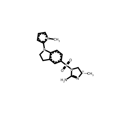 C[C@H]1CN(S(=O)(=O)c2ccc3c(c2)CCN3c2cccn2C)C(N)=N1